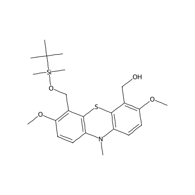 COc1ccc2c(c1CO)Sc1c(ccc(OC)c1CO[Si](C)(C)C(C)(C)C)N2C